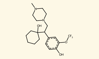 CN1CCN(CC(c2ccc(O)c(OC(F)(F)F)c2)C2(O)CCCCC2)CC1